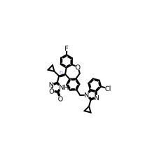 O=c1[nH]c(/C(=C2\c3ccc(Cn4c(C5CC5)nc5c(Cl)cccc54)cc3COc3cc(F)ccc32)C2CC2)no1